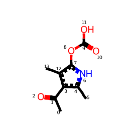 CC(=O)c1c(C)[nH]c(OC(=O)O)c1C